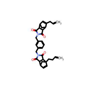 C=CCCC12C=CC(C1)C1C(=O)N(Cc3cccc(CN4C(=O)C5C6C=C(CC=C)C(C6)C5C4=O)c3)C(=O)C12